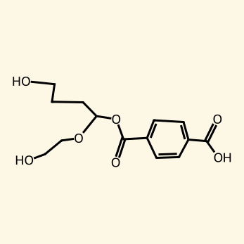 O=C(O)c1ccc(C(=O)OC(CCCO)OCCO)cc1